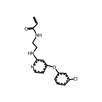 C=CC(=O)NCCNc1cc(Oc2cccc(Cl)c2)ccn1